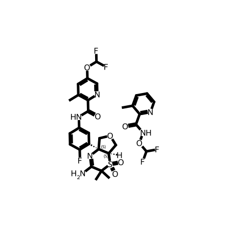 Cc1cc(OC(F)F)cnc1C(=O)Nc1ccc(F)c([C@]23COC[C@H]2S(=O)(=O)C(C)(C)C(N)=N3)c1.Cc1cccnc1C(=O)NOC(F)F